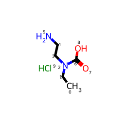 CCN(CCN)C(=O)O.Cl